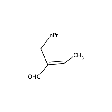 CC=C(C=O)CCCC